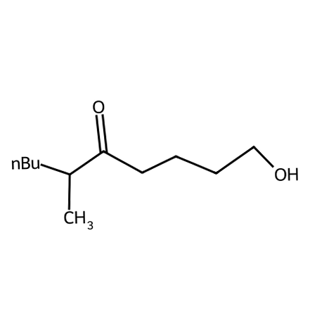 CCCCC(C)C(=O)CCCCO